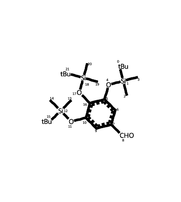 CC(C)(C)[Si](C)(C)Oc1cc(C=O)cc(O[Si](C)(C)C(C)(C)C)c1O[Si](C)(C)C(C)(C)C